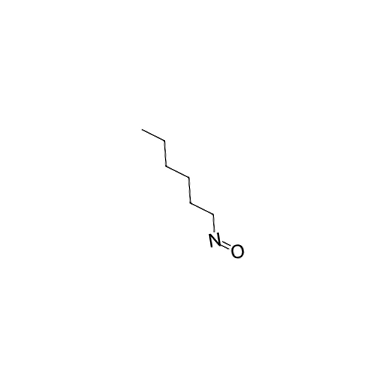 CCCCCCN=O